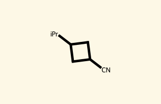 CC(C)C1CC(C#N)C1